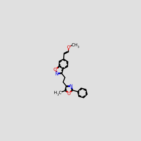 CO/C=C/c1ccc2c(CCc3nc(-c4ccccc4)oc3C)noc2c1